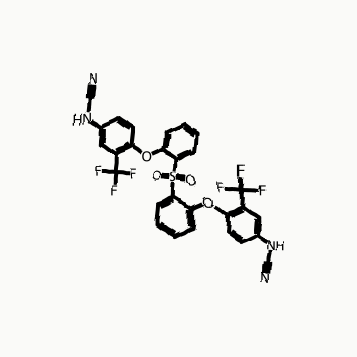 N#CNc1ccc(Oc2ccccc2S(=O)(=O)c2ccccc2Oc2ccc(NC#N)cc2C(F)(F)F)c(C(F)(F)F)c1